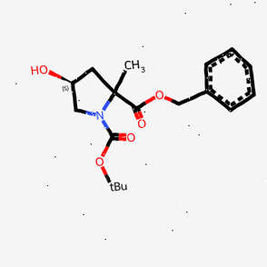 CC(C)(C)OC(=O)N1C[C@@H](O)CC1(C)C(=O)OCc1ccccc1